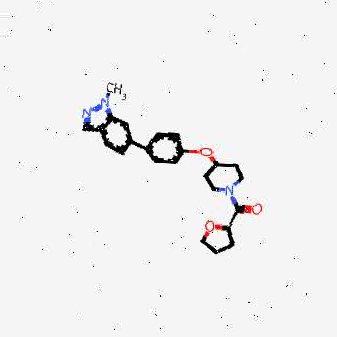 Cn1ncc2ccc(-c3ccc(OC4CCN(C(=O)[C@H]5CCCO5)CC4)cc3)cc21